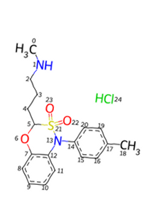 CNCCCC1Oc2ccccc2N(c2ccc(C)cc2)S1(=O)=O.Cl